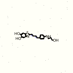 OCCCNc1ccc(/C=C/C=C/c2nc3cc(O)c(O)cc3s2)cc1